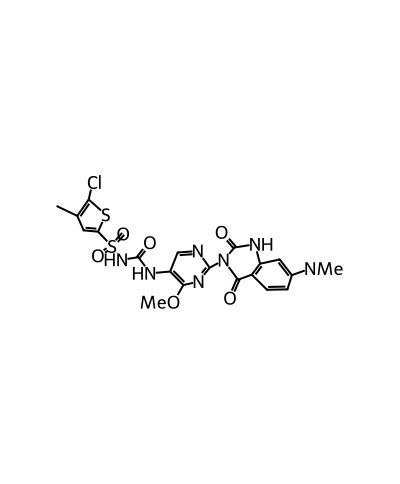 CNc1ccc2c(=O)n(-c3ncc(NC(=O)NS(=O)(=O)c4cc(C)c(Cl)s4)c(OC)n3)c(=O)[nH]c2c1